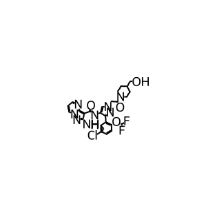 Nc1nn2cccnc2c1C(=O)Nc1cn(CC(=O)N2CCC(CO)CC2)nc1-c1cc(Cl)ccc1OC(F)F